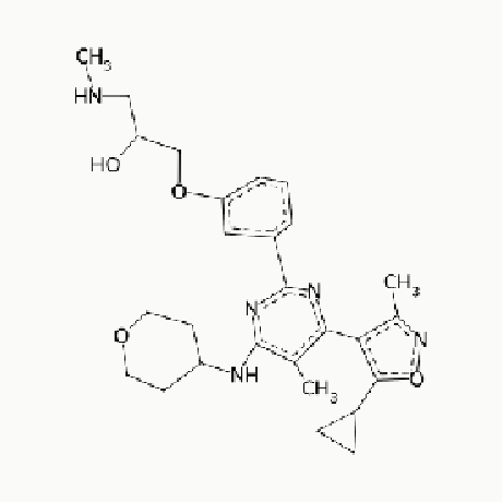 CNCC(O)COc1cccc(-c2nc(NC3CCOCC3)c(C)c(-c3c(C)noc3C3CC3)n2)c1